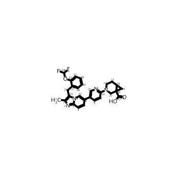 Cc1nc2ccc(-c3ccc(N4CCC5CC5(C(=O)O)C4)nc3)cn2c1Cc1ccccc1OC(F)F